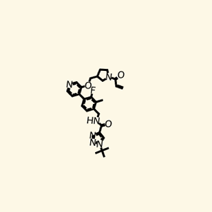 C=CC(=O)N1CCC(COc2cnccc2-c2ccc(CNC(=O)c3cn(C(C)(C)C)nn3)c(C)c2F)C1